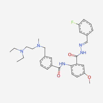 CCN(CC)CCN(C)Cc1cccc(C(=O)Nc2ccc(OC)cc2C(=O)NN=Cc2cccc(F)c2)c1